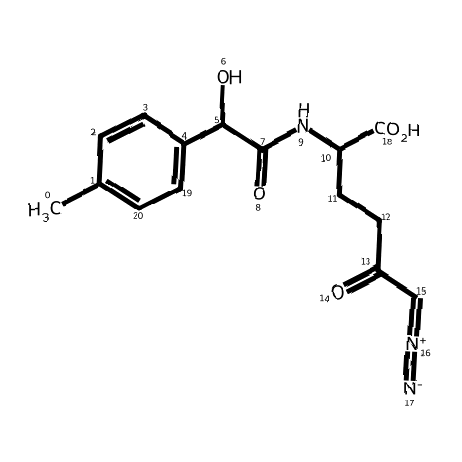 Cc1ccc(C(O)C(=O)NC(CCC(=O)C=[N+]=[N-])C(=O)O)cc1